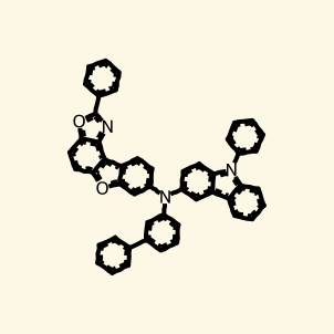 c1ccc(-c2cccc(N(c3ccc4c(c3)oc3ccc5oc(-c6ccccc6)nc5c34)c3ccc4c(c3)c3ccccc3n4-c3ccccc3)c2)cc1